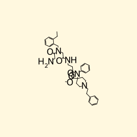 CCc1ccccc1CN(CC(=O)NCCC(=O)N(c1ccccc1)C1(C(=O)OC)CCN(CCc2ccccc2)CC1)C(=O)CN